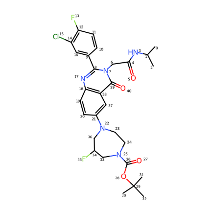 CC(C)NC(=O)Cn1c(-c2ccc(F)c(Cl)c2)nc2ccc(N3CCN(C(=O)OC(C)(C)C)CC(F)C3)cc2c1=O